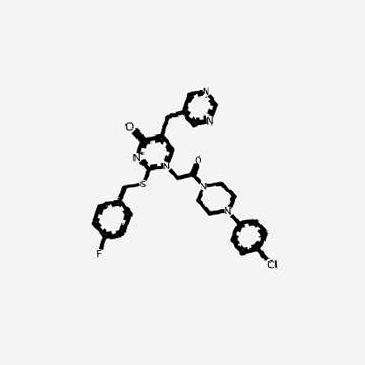 O=C(Cn1cc(Cc2cncnc2)c(=O)nc1SCc1ccc(F)cc1)N1CCN(c2ccc(Cl)cc2)CC1